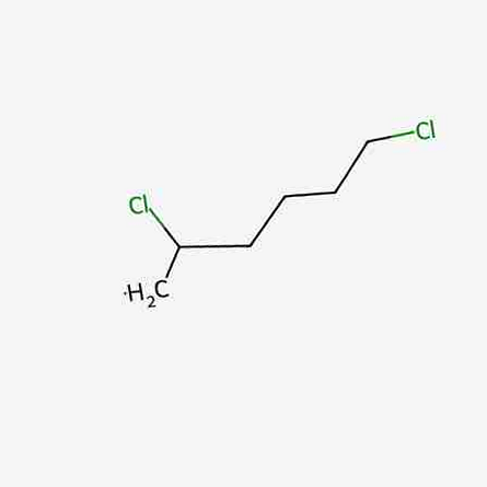 [CH2]C(Cl)CCCCCl